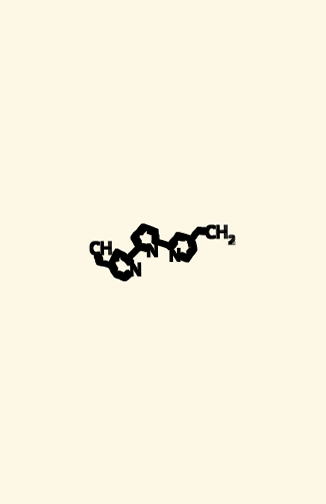 C=Cc1ccnc(-c2cccc(-c3cc(C=C)ccn3)n2)c1